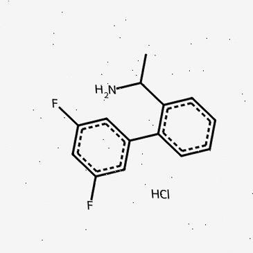 CC(N)c1ccccc1-c1cc(F)cc(F)c1.Cl